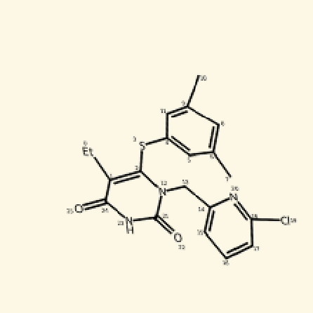 CCc1c(Sc2cc(C)cc(C)c2)n(Cc2cccc(Cl)n2)c(=O)[nH]c1=O